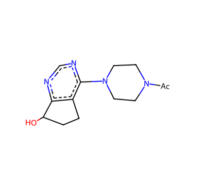 CC(=O)N1CCN(c2ncnc3c2CCC3O)CC1